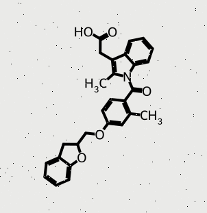 Cc1cc(OCC2Cc3ccccc3O2)ccc1C(=O)n1c(C)c(CC(=O)O)c2ccccc21